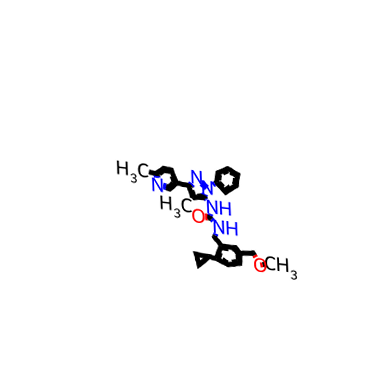 COCc1ccc(C2CC2)c(CNC(=O)Nc2c(C)c(-c3ccc(C)nc3)nn2-c2ccccc2)c1